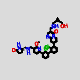 COc1nc(-c2cccc(-c3cccc(-c4ccn5c(=O)c(CNCC6CC6CO)cnc5c4)c3Cl)c2Cl)ccc1CNC[C@@H]1CCC(=O)N1